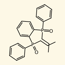 CCCP(=O)(c1ccccc1)c1ccccc1P(=O)(CCC)c1ccccc1